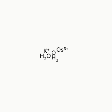 O.O.[K+].[Os+6]